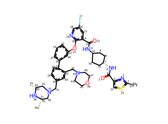 CC(C)c1nc(C(=O)N[C@H]2CC[C@H](NC(=O)c3cc(F)cnc3Oc3cccc(-c4ccc(CN5C[C@@H](C)N[C@@H](C)C5)cc4CN4CCOCC4)c3)CC2)cs1